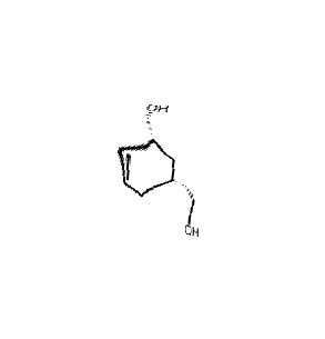 OC[C@@H]1CC=C[C@H](O)C1